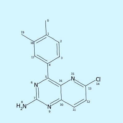 Cc1ccc(-c2nc(N)nc3ccc(Cl)nc23)cc1C